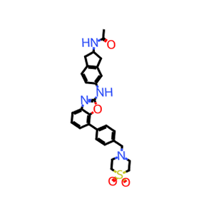 CC(=O)NC1Cc2ccc(Nc3nc4cccc(-c5ccc(CN6CCS(=O)(=O)CC6)cc5)c4o3)cc2C1